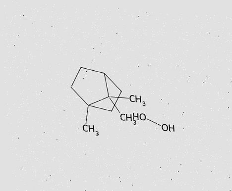 CC12CCC(CC1)C2(C)C.OO